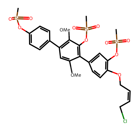 COc1cc(-c2ccc(OS(C)(=O)=O)cc2)c(OC)c(OS(C)(=O)=O)c1-c1ccc(OC/C=C\CCl)c(OS(C)(=O)=O)c1